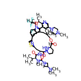 CO[C@@H](C)c1ncc(N2CCN(C)CC2)cc1-c1c2c3c(F)c(ccc3n1CC(F)(F)F)-c1csc(n1)C[C@H](NC(=O)[C@H](C(C)C)N(C)C(=O)N1CC(N(C)C)C1)C(=O)N1CCC[C@H](N1)C(=O)OCC(C)(C)C2